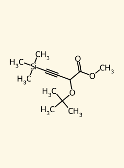 COC(=O)C(C#C[Si](C)(C)C)OC(C)(C)C